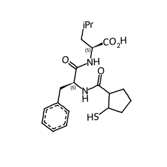 CC(C)C[C@H](NC(=O)[C@H](Cc1ccccc1)NC(=O)C1CCCC1S)C(=O)O